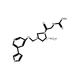 COC(=O)NCC(=O)N1C[C@H](COc2cncc(-c3ccsc3)c2)C[C@H]1C(=O)O